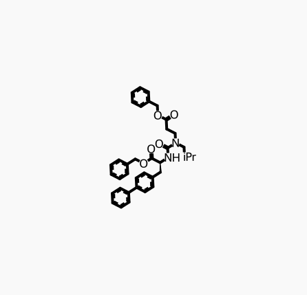 CC(C)CN(CCC(=O)OCc1ccccc1)C(=O)N[C@@H](Cc1ccc(-c2ccccc2)cc1)C(=O)OCc1ccccc1